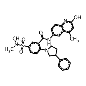 Cc1cc(O)nc2ccc(NC(=O)c3cc(S(=O)(=O)N(C)C)ccc3N3CCC(c4ccccc4)C3)cc12